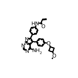 C=CC(=O)Nc1ccc(-c2nn3ncnc(N)c3c2-c2ccc(OC3CC(OC)C3)cc2)cc1